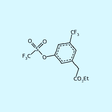 CCOC(=O)Cc1cc(OS(=O)(=O)C(F)(F)F)cc(C(F)(F)F)c1